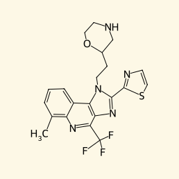 Cc1cccc2c1nc(C(F)(F)F)c1nc(-c3nccs3)n(CCC3CNCCO3)c12